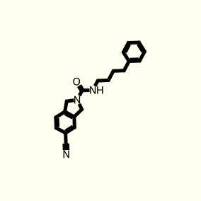 N#Cc1ccc2c(c1)CN(C(=O)NCCCCc1ccccc1)C2